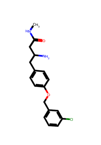 CNC(=O)CC(N)Cc1ccc(OCc2cccc(Cl)c2)cc1